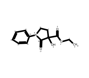 CCOC(=O)C1(O)CCN(c2ccccc2)C1=O